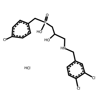 Cl.O=P(O)(Cc1ccc(Cl)cc1)CC(O)CNCc1ccc(Cl)c(Cl)c1